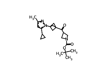 Cc1cc(C2CC2)n(C23CC(C(=O)C4CN(C(=O)OC(C)(C)C)C4)(C2)C3)n1